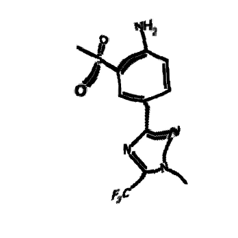 Cn1nc(-c2ccc(N)c(S(C)(=O)=O)c2)nc1C(F)(F)F